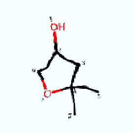 CC1(C)CC(O)CO1